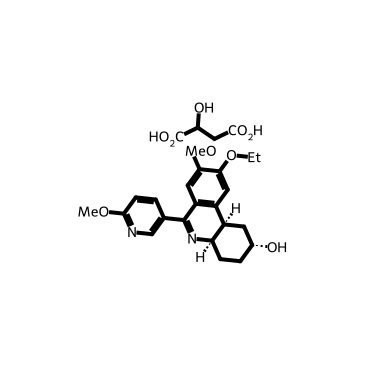 CCOc1cc2c(cc1OC)C(c1ccc(OC)nc1)=N[C@@H]1CC[C@@H](O)C[C@H]21.O=C(O)CC(O)C(=O)O